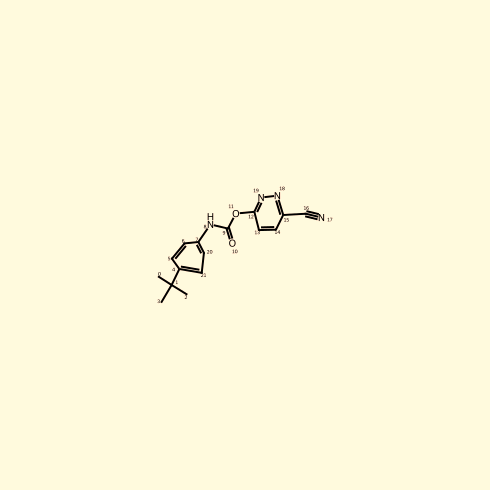 CC(C)(C)c1ccc(NC(=O)Oc2ccc(C#N)nn2)cc1